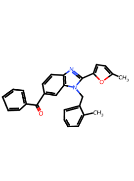 Cc1ccc(-c2nc3ccc(C(=O)c4ccccc4)cc3n2Cc2ccccc2C)o1